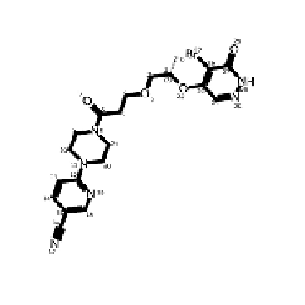 C[C@@H](COCCC(=O)N1CCN(c2ccc(C#N)cn2)CC1)Oc1cn[nH]c(=O)c1Br